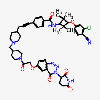 CC1(C)C(NC(=O)c2ccc(C#CCC3CCN(CC4CCN(C(=O)COc5ccc6nnn(C7CCC(=O)NC7=O)c(=O)c6c5)CC4)CC3)cc2)C(C)(C)C1Oc1ccc(C#N)c(Cl)c1